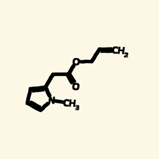 C=CCOC(=O)Cc1cccn1C